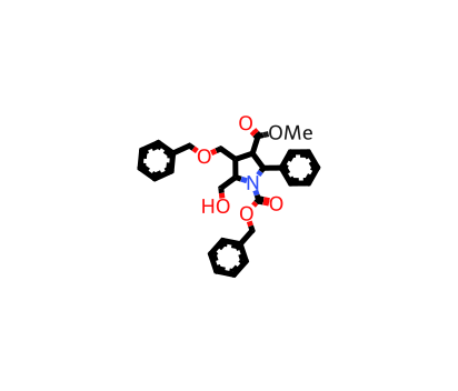 COC(=O)C1C(COCc2ccccc2)C(CO)N(C(=O)OCc2ccccc2)C1c1ccccc1